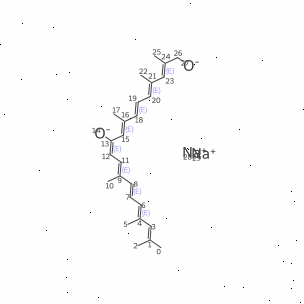 CC(C)=C/C(C)=C/C=C/C(C)=C/C=C([O-])\C=C(C)\C=C\C=C(C)\C=C(/C)C[O-].[Na+].[Na+]